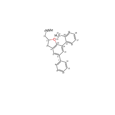 CNCC1Cc2cc(-c3ccccc3)cc(-c3ccccc3C)c2O1